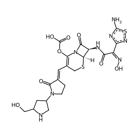 Nc1nc(/C(=N/O)C(=O)N[C@@H]2C(=O)N3C(OC(=O)O)=C(/C=C4\CCN(C5CNC(CO)C5)C4=O)CS[C@H]23)ns1